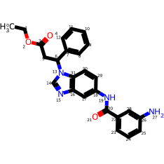 CCOC(=O)CC(c1ccccc1)n1cnc2cc(NC(=O)c3cccc(N)c3)ccc21